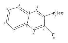 CCCCC[CH]c1nc2ccccc2nc1Cl